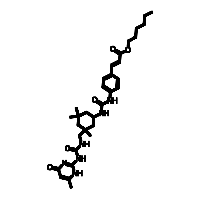 CCCCCCOC(=O)/C=C/c1ccc(NC(=O)NC2CC(C)(C)CC(C)(CNC(=O)Nc3nc(=O)cc(C)[nH]3)C2)cc1